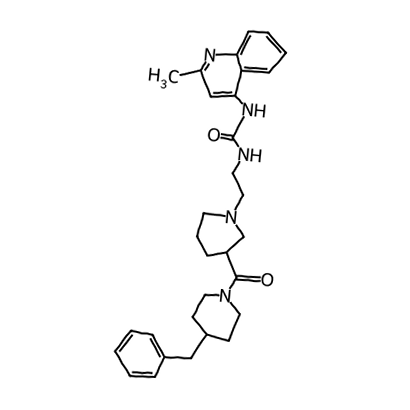 Cc1cc(NC(=O)NCCN2CCCC(C(=O)N3CCC(Cc4ccccc4)CC3)C2)c2ccccc2n1